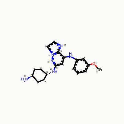 CC(C)Oc1cccc(Nc2cc(N[C@H]3CC[C@H](N)CC3)nn3ccnc23)c1